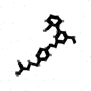 COc1cc(COc2ccc(SOCC(=O)O)cc2)cc(-c2ccccc2F)c1